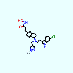 CCn1cc(CN(CCc2c[nH]c3cc(Cl)ccc23)C2CCc3cc(/C=C/C(=O)NO)ccc32)cn1